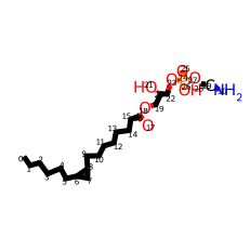 CCCCCCC1CC1CCCCCCCC(=O)OC[C@@H](O)COP(=O)(O)OCCN